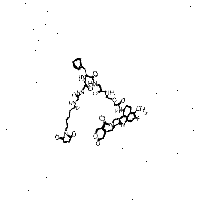 Cc1c(F)cc2nc3c(c4c2c1CC[C@@H]4NC(=O)COCNC(=O)CNC(=O)[C@H](Cc1ccccc1)NC(=O)CNC(=O)CNC(=O)CCCCCN1C(=O)C=CC1=O)Cn1c-3cc2c(c1=O)COC(=O)C2